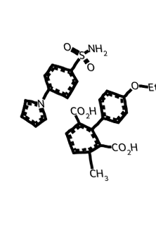 CCOc1ccc(-c2c(C(=O)O)ccc(C)c2C(=O)O)cc1.NS(=O)(=O)c1ccc(-n2cccc2)cc1